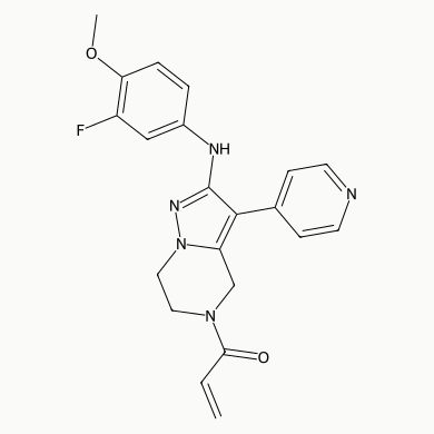 C=CC(=O)N1CCn2nc(Nc3ccc(OC)c(F)c3)c(-c3ccncc3)c2C1